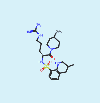 CC(=O)OC1CCN(C(=O)[C@H](CCCNC(=N)N)NS(=O)(=O)c2cccc3c2NCC(C)C3)CC1